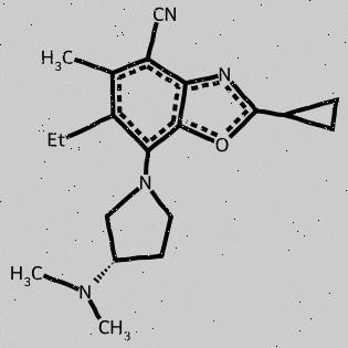 CCc1c(C)c(C#N)c2nc(C3CC3)oc2c1N1CC[C@H](N(C)C)C1